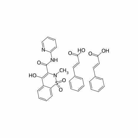 CN1C(C(=O)Nc2ccccn2)=C(O)c2ccccc2S1(=O)=O.O=C(O)C=Cc1ccccc1.O=C(O)C=Cc1ccccc1